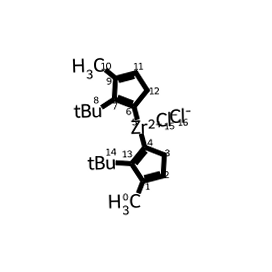 CC1=CC[C]([Zr+2][C]2=C(C(C)(C)C)C(C)=CC2)=C1C(C)(C)C.[Cl-].[Cl-]